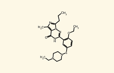 CCCc1nc(C)c2c(=O)[nH]c(-c3cc(SN4CCN(CC)CC4)ccc3OCC)nn12